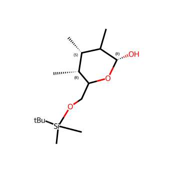 CC1[C@H](O)OC(CO[Si](C)(C)C(C)(C)C)[C@H](C)[C@@H]1C